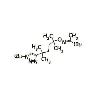 CC(=NOC(C)(C)CCC(C)(C)c1cn(C(C)(C)C)nn1)C(C)(C)C